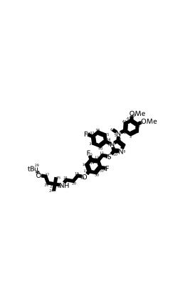 COc1ccc(N(C)c2cnc(SCc3c(F)cc(OCCCNC(C)(C)CCOC(C)(C)C)cc3F)n2-c2ccc(F)cc2)cc1OC